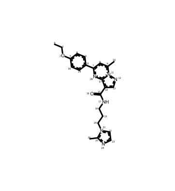 CCOc1ccc(-c2cc(C)n3ncc(C(=O)NCCCn4ccnc4C)c3n2)cc1